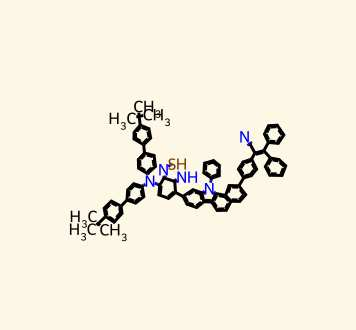 CC(C)(C)c1ccc(-c2ccc(N(C3=CC=C(c4ccc5c6ccc7ccc(-c8ccc(C(C#N)=C(c9ccccc9)c9ccccc9)cc8)cc7c6n(-c6ccccc6)c5c4)C(=N)/C3=N\S)c3ccc(-c4ccc(C(C)(C)C)cc4)cc3)cc2)cc1